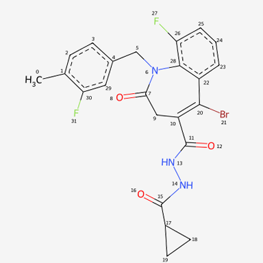 Cc1ccc(CN2C(=O)CC(C(=O)NNC(=O)C3CC3)=C(Br)c3cccc(F)c32)cc1F